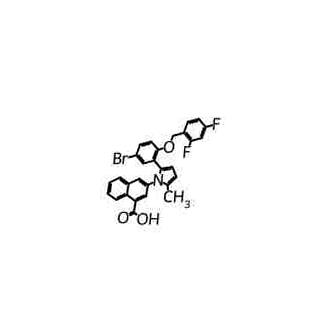 Cc1ccc(-c2cc(Br)ccc2OCc2ccc(F)cc2F)n1-c1cc(C(=O)O)c2ccccc2c1